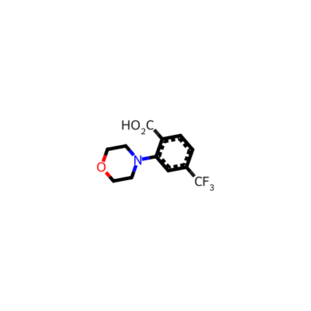 O=C(O)c1ccc(C(F)(F)F)cc1N1CCOCC1